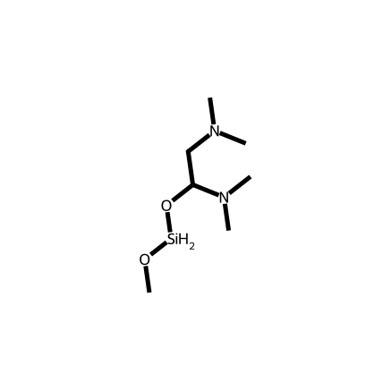 CO[SiH2]OC(CN(C)C)N(C)C